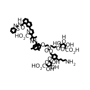 Cc1c(-c2ccc(-c3ccc4cccc(C(=O)Nc5nc6ccccc6s5)c4c3)nc2C(=O)O)cnn1CC12CC3(C)CC(C)(C1)CC(OCCN(CCCO[C@H]1O[C@@H](C(=O)O)[C@H](O)[C@@H](O)[C@@H]1O)C(=O)OCc1ccc(CCCCN)cc1O[C@H]1O[C@@H](C(=O)O)[C@H](O)[C@@H](O)[C@@H]1O)(C3)C2